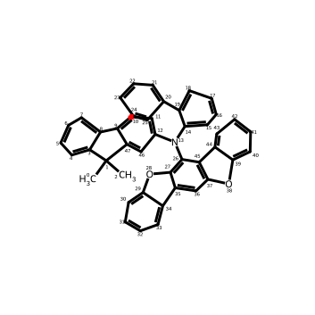 CC1(C)c2ccccc2-c2ccc(N(c3ccccc3-c3ccccc3)c3c4oc5ccccc5c4cc4oc5ccccc5c34)cc21